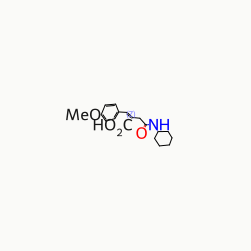 COc1ccc(/C=C(/CC(=O)NC2CCCCC2)C(=O)O)cc1